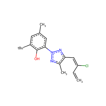 C=C/C(Cl)=C\c1nn(-c2cc(C)cc(C(C)(C)C)c2O)nc1C